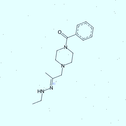 CCN/N=C(\C)CN1CCN(C(=O)c2ccccc2)CC1